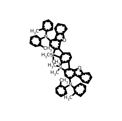 Cc1ccccc1N(c1ccccc1C)c1cc2c(c3oc4ccccc4c13)-c1ccc3c(c1[Si]2(C)C)[Si](C)(C)c1cc(N(c2ccccc2C)c2ccccc2C)c2c(oc4ccccc42)c1-3